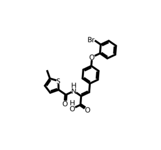 Cc1ccc(C(=O)NC(=Cc2ccc(Oc3ccccc3Br)cc2)C(=O)O)s1